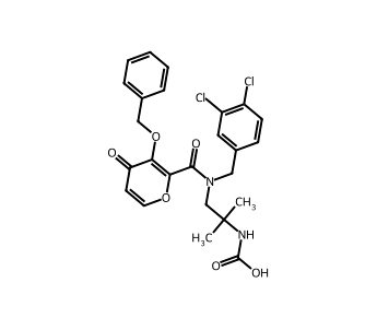 CC(C)(CN(Cc1ccc(Cl)c(Cl)c1)C(=O)c1occc(=O)c1OCc1ccccc1)NC(=O)O